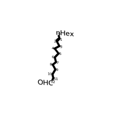 CCCCCCC=CCCCCCCCCCC=O